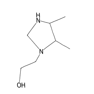 CC1NCN(CCO)C1C